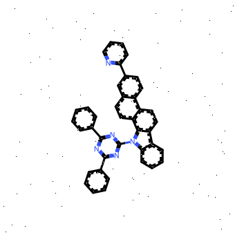 c1ccc(-c2nc(-c3ccccc3)nc(-n3c4ccccc4c4ccc5c6ccc(-c7ccccn7)cc6ccc5c43)n2)cc1